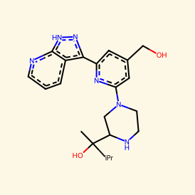 CC(C)C(C)(O)C1CN(c2cc(CO)cc(-c3n[nH]c4ncccc34)n2)CCN1